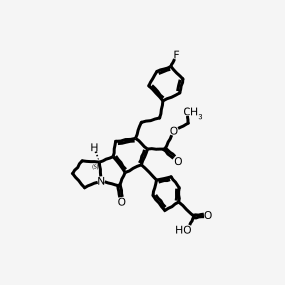 CCOC(=O)c1c(CCc2ccc(F)cc2)cc2c(c1-c1ccc(C(=O)O)cc1)C(=O)N1CCC[C@@H]21